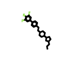 CCCC1CCC(C2CCC(CCc3ccc(-c4cc(F)c(F)c(F)c4)cc3)CC2)C1